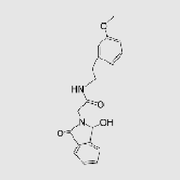 COc1cccc(CCNC(=O)CN2C(=O)c3ccccc3C2O)c1